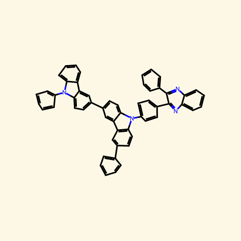 c1ccc(-c2ccc3c(c2)c2cc(-c4ccc5c(c4)c4ccccc4n5-c4ccccc4)ccc2n3-c2ccc(-c3nc4ccccc4nc3-c3ccccc3)cc2)cc1